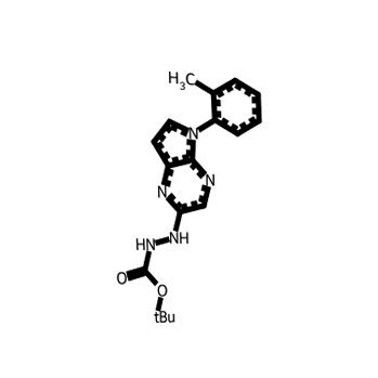 Cc1ccccc1-n1ccc2nc(NNC(=O)OC(C)(C)C)cnc21